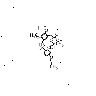 CCCOc1ccc(C(=O)NCc2cc(CC(OC(C)C)C(=O)O)c(OC)cc2OC)c(Cl)c1